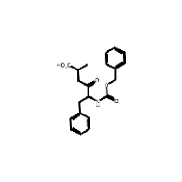 CC(CC(=O)C(Cc1ccccc1)NC(=O)OCc1ccccc1)C(=O)O